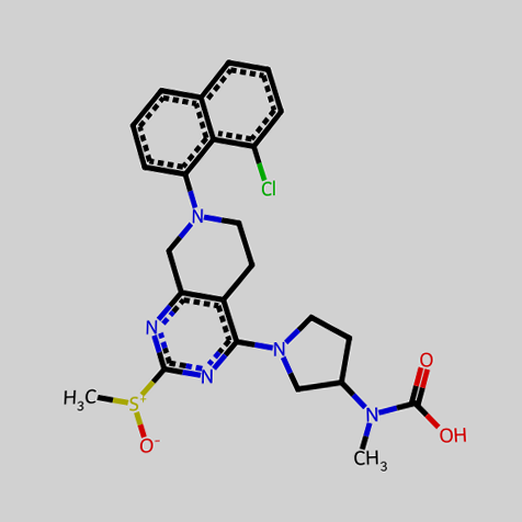 CN(C(=O)O)C1CCN(c2nc([S+](C)[O-])nc3c2CCN(c2cccc4cccc(Cl)c24)C3)C1